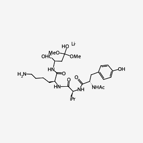 COC(O)(CC(C=O)NC(=O)[C@H](CCCCN)NC(=O)[C@@H](NC(=O)[C@H](Cc1ccc(O)cc1)NC(C)=O)C(C)C)OC.[Li]